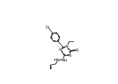 C=CCNNc1nc(-c2ccc(Cl)cc2)n(CC)c(=O)n1